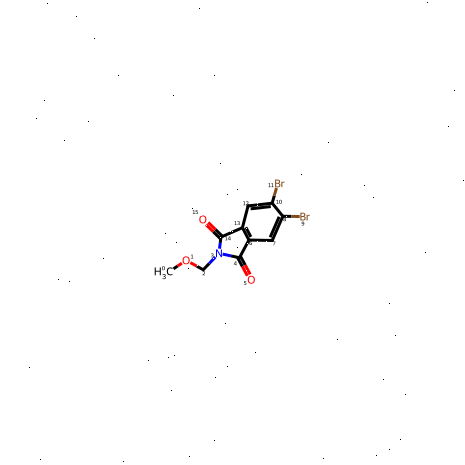 COCN1C(=O)c2cc(Br)c(Br)cc2C1=O